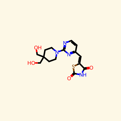 O=C1NC(=O)C(=Cc2ccnc(N3CCC(CO)(CO)CC3)n2)S1